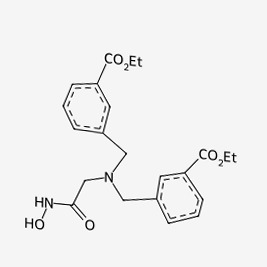 CCOC(=O)c1cccc(CN(CC(=O)NO)Cc2cccc(C(=O)OCC)c2)c1